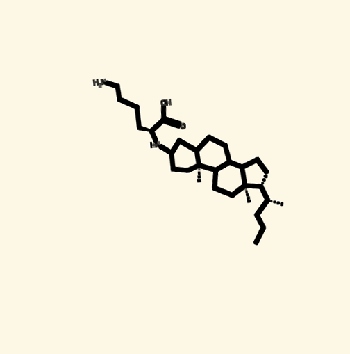 CCC[C@@H](C)[C@H]1CCC2C3CCC4CC(N[C@@H](CCCCN)C(=O)O)CC[C@]4(C)C3CC[C@@]21C